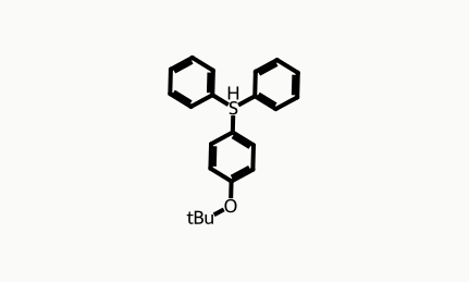 CC(C)(C)Oc1ccc([SH](c2ccccc2)c2ccccc2)cc1